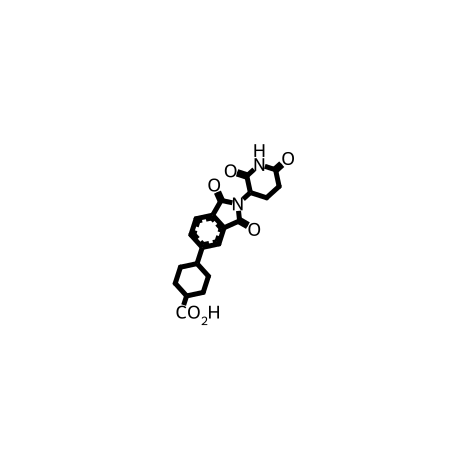 O=C1CCC(N2C(=O)c3ccc(C4CCC(C(=O)O)CC4)cc3C2=O)C(=O)N1